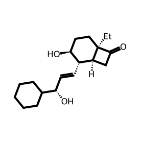 CC[C@@]12CC[C@H](O)[C@@H](/C=C/[C@H](O)C3CCCCC3)[C@@H]1CC2=O